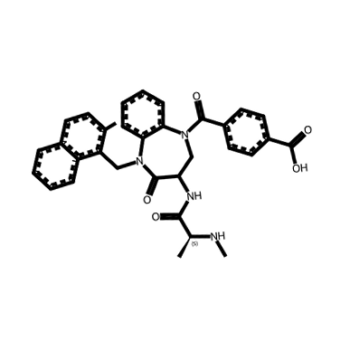 CN[C@@H](C)C(=O)NC1CN(C(=O)c2ccc(C(=O)O)cc2)c2ccccc2N(Cc2c(C)ccc3ccccc23)C1=O